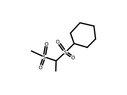 CC(S(C)(=O)=O)S(=O)(=O)C1CCCCC1